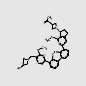 COc1nc(-c2cccc(-c3cccc(-c4cc5c(c(OC)n4)[C@@H](N4CC(C(C)=O)C4)CC5)c3Cl)c2Cl)cnc1CN1CC(O)C1